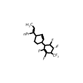 C/C=C(\CCC)C1C=CC(C2C(F)=C(F)C(C(F)(F)F)[C@@H](F)C2F)CC1